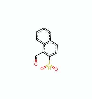 O=Cc1c([SH](=O)=O)ccc2ccccc12